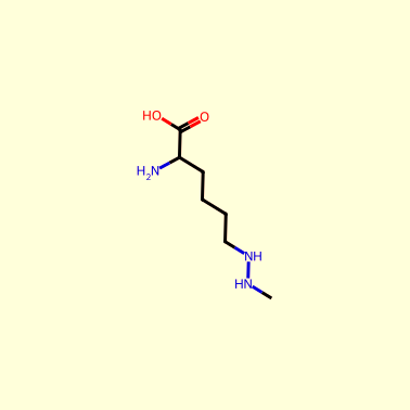 CNNCCCCC(N)C(=O)O